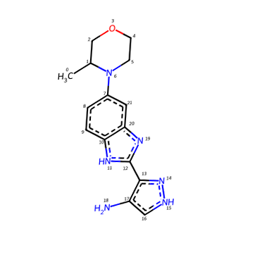 CC1COCCN1c1ccc2[nH]c(-c3n[nH]cc3N)nc2c1